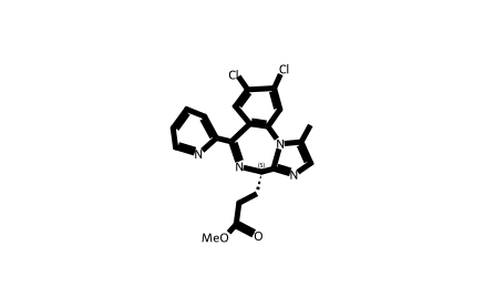 COC(=O)CC[C@@H]1N=C(c2ccccn2)c2cc(Cl)c(Cl)cc2-n2c(C)cnc21